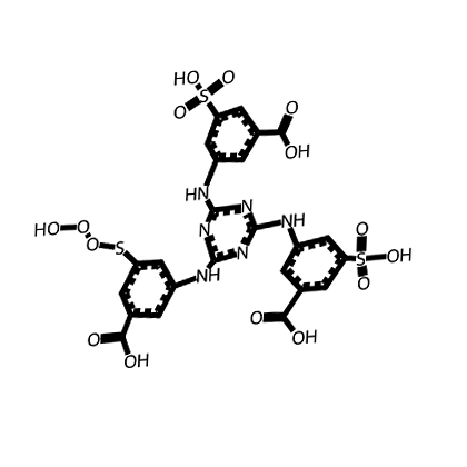 O=C(O)c1cc(Nc2nc(Nc3cc(C(=O)O)cc(S(=O)(=O)O)c3)nc(Nc3cc(C(=O)O)cc(S(=O)(=O)O)c3)n2)cc(SOOO)c1